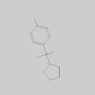 CC(C(=O)O)(c1ccc(O)cc1)C1CCCC1